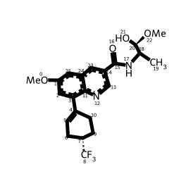 COc1cc(C2=CC[C@@H](C(F)(F)F)CC2)c2ncc(C(=O)NC(C)[C@@H](O)OC)cc2c1